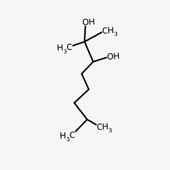 CC(C)CCCC(O)C(C)(C)O